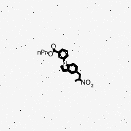 CCCOC(=O)c1cccc(-n2ccc3cc(CC(C)[N+](=O)[O-])ccc32)c1